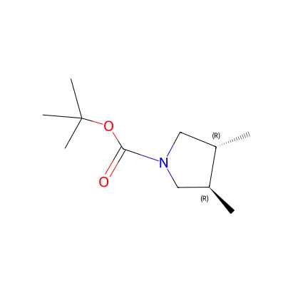 C[C@H]1CN(C(=O)OC(C)(C)C)C[C@@H]1C